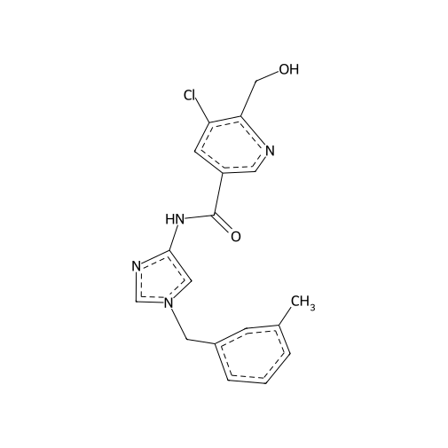 Cc1cccc(Cn2cnc(NC(=O)c3cnc(CO)c(Cl)c3)c2)c1